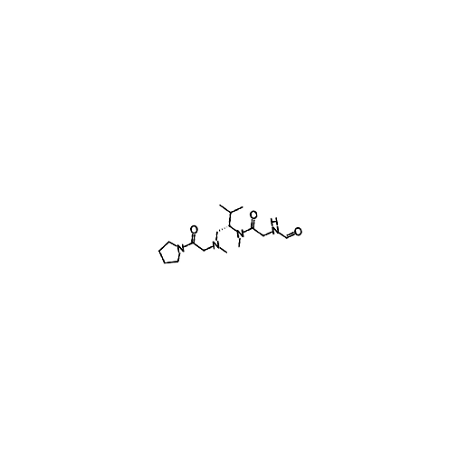 CC(C)[C@@H](CN(C)CC(=O)N1CCCC1)N(C)C(=O)CNC=O